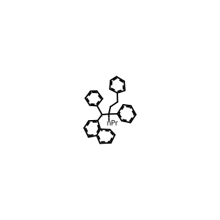 CCCC(CCc1ccccc1)([C](c1ccccc1)c1cccc2ccccc12)c1ccccc1